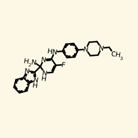 CCN1CCN(c2ccc(NC3=NC(N)(c4nc5ccccc5[nH]4)NC=C3F)cc2)CC1